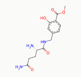 COC(=O)c1ccc(CNC(=O)[C@@H](N)CCC(N)=O)cc1O